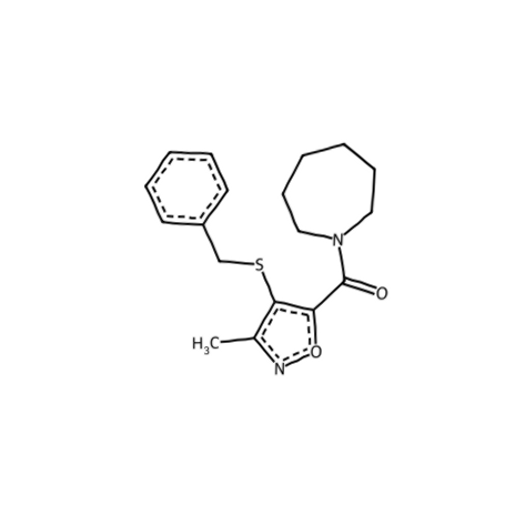 Cc1noc(C(=O)N2CCCCCC2)c1SCc1ccccc1